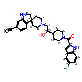 C#Cc1ccc2c(c1)NCC21CCN(C[C@H](O)C2CCN(C(=O)c3cc4cc(F)ccc4[nH]3)CC2)CC1